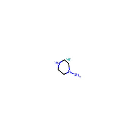 F.NN1CCNCC1